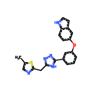 Cc1cnc(Cc2nnc(-c3cccc(Oc4ccc5[nH]ccc5c4)c3)[nH]2)s1